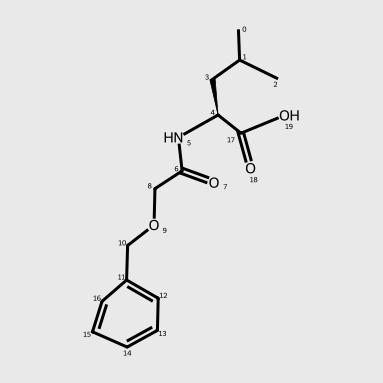 CC(C)C[C@H](NC(=O)COCc1ccccc1)C(=O)O